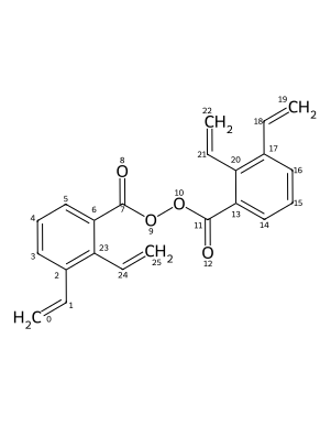 C=Cc1cccc(C(=O)OOC(=O)c2cccc(C=C)c2C=C)c1C=C